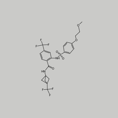 COCCOc1ccc(S(=O)(=O)Nc2cc(C(F)(F)F)ccc2C(=O)NC23CC(C(F)(F)F)(C2)C3)cc1